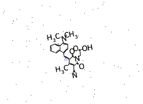 CC1=C(C#N)C(=O)N(CC(=O)O)C(=O)/C1=C\c1ccc(N(C)C)c2ccccc12